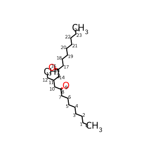 CCCCCCCCC(=O)CC(CC)CC(=O)CCCCCCCC